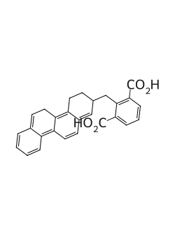 O=C(O)c1cccc(C(=O)O)c1CC1C=c2ccc3c(c2CC1)CC=c1ccccc1=3